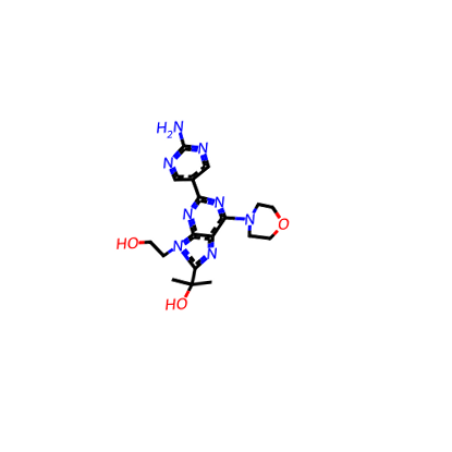 CC(C)(O)c1nc2c(N3CCOCC3)nc(-c3cnc(N)nc3)nc2n1CCO